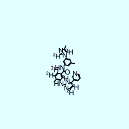 [2H]c1nc(Nc2c([2H])c(C(=O)Nc3cc(C)cc(-n4c([2H])nc(C)c4[2H])c3)c([2H])c([2H])c2C)nc(-c2cccnc2)c1[2H]